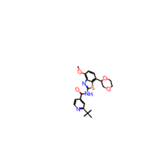 COc1ccc(C2COCCO2)c2sc(NC(=O)c3ccnc(C(C)(C)C)c3)nc12